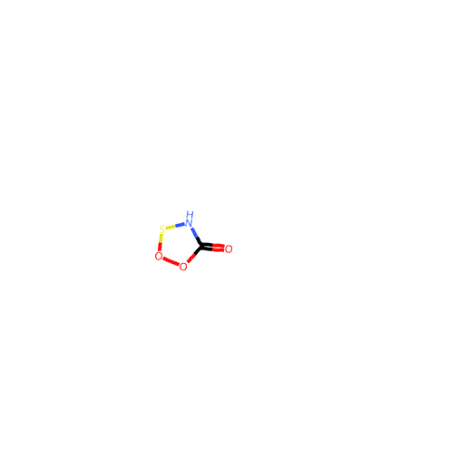 O=C1NSOO1